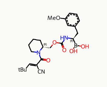 COc1cccc(C[C@H](NC(=O)OC[C@H]2CCCCN2C(=O)C(C#N)=CC(C)(C)C)B(O)O)c1